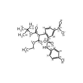 CCOC(=O)C(C(=O)OC(C)(C)C)c1ccc([N+](=O)[O-])cc1S(=O)(=O)Nc1ccc(Cl)cc1